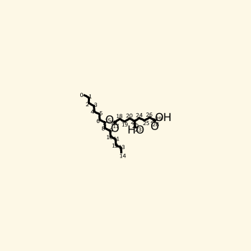 CCCCCCCC(CCCCCCC)OC(=O)CCCC(CO)CCCC(=O)O